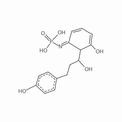 O=P(O)(O)N=C1C=CC=C(O)C1C(O)CCc1ccc(O)cc1